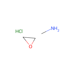 C1CO1.CN.Cl